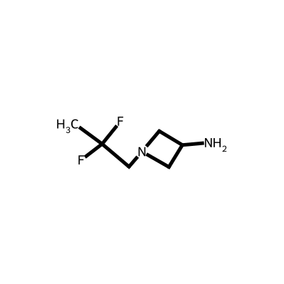 CC(F)(F)CN1CC(N)C1